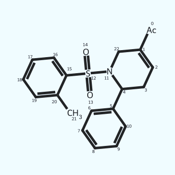 CC(=O)C1=CCC(c2ccccc2)N(S(=O)(=O)c2ccccc2C)C1